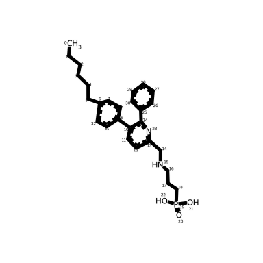 CCCCCCc1ccc(-c2ccc(CNCCCP(=O)(O)O)nc2-c2ccccc2)cc1